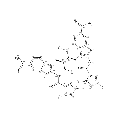 CCO[C@@H](Cn1c(NC(=O)c2cc(C)nn2CC)nc2cc(C(N)=O)ccc21)[C@H](Cn1c(NC(=O)c2cc(C)nn2CC)nc2cc(C(N)=O)ccc21)OCC